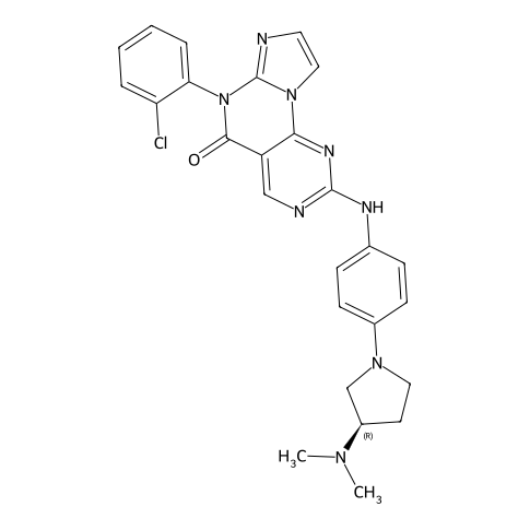 CN(C)[C@@H]1CCN(c2ccc(Nc3ncc4c(=O)n(-c5ccccc5Cl)c5nccn5c4n3)cc2)C1